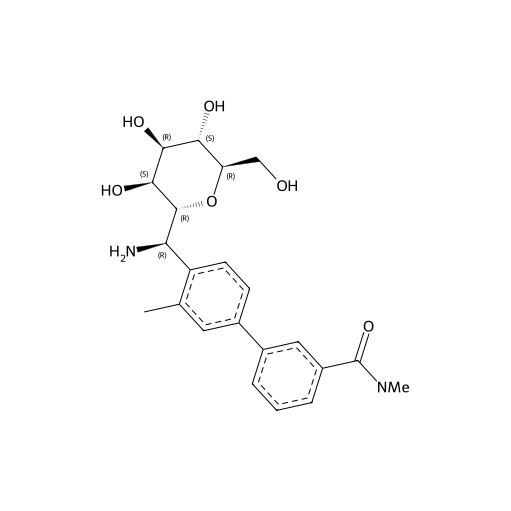 CNC(=O)c1cccc(-c2ccc([C@@H](N)[C@H]3O[C@H](CO)[C@@H](O)[C@H](O)[C@@H]3O)c(C)c2)c1